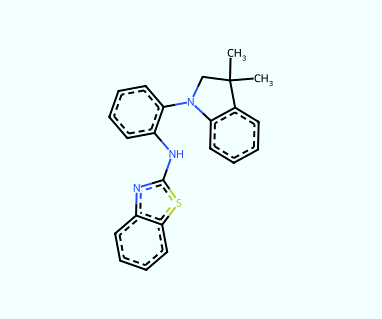 CC1(C)CN(c2ccccc2Nc2nc3ccccc3s2)c2ccccc21